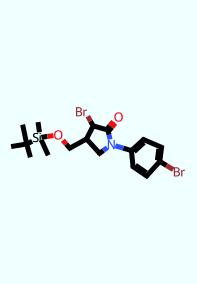 CC(C)(C)[Si](C)(C)OCC1CN(c2ccc(Br)cc2)C(=O)C1Br